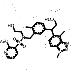 COc1ncccc1S(=O)(=O)N(CCO)Cc1cc(C(CC(=O)O)c2ccc3c(nnn3C)c2C)ccc1C